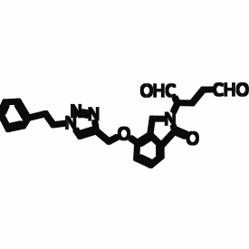 O=CCCC(C=O)N1Cc2c(OCc3cn(CCc4ccccc4)nn3)cccc2C1=O